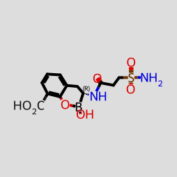 NS(=O)(=O)CCC(=O)N[C@H]1Cc2cccc(C(=O)O)c2OB1O